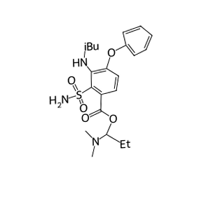 CCC(C)Nc1c(Oc2ccccc2)ccc(C(=O)OC(CC)N(C)C)c1S(N)(=O)=O